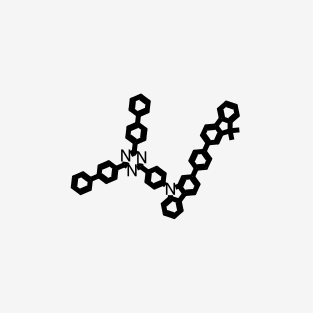 CC1(C)c2ccccc2-c2ccc(-c3ccc(-c4ccc5c6ccccc6n(-c6ccc(-c7nc(-c8ccc(-c9ccccc9)cc8)nc(-c8ccc(-c9ccccc9)cc8)n7)cc6)c5c4)cc3)cc21